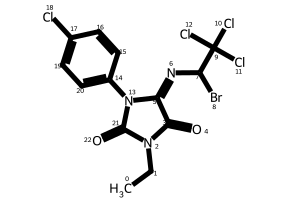 CCN1C(=O)C(=NC(Br)C(Cl)(Cl)Cl)N(c2ccc(Cl)cc2)C1=O